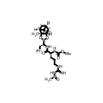 CC(C)C[C@H](NC(=O)[C@H](CCCNC(=N)N[N+](C)=O)NC(=O)OC(C)(C)C)B1O[C@@H]2C[C@@H]3C[C@@H](C3(C)C)[C@]2(C)O1